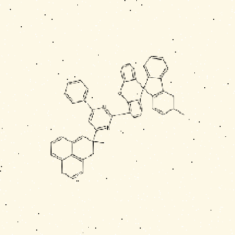 CC1C=CC2=C(C1)c1ccccc1C21c2ccccc2Oc2c(-c3nc(-c4ccccc4)cc(C4(C)C=c5cccc6c5=C(C=CC6)C4)n3)cccc21